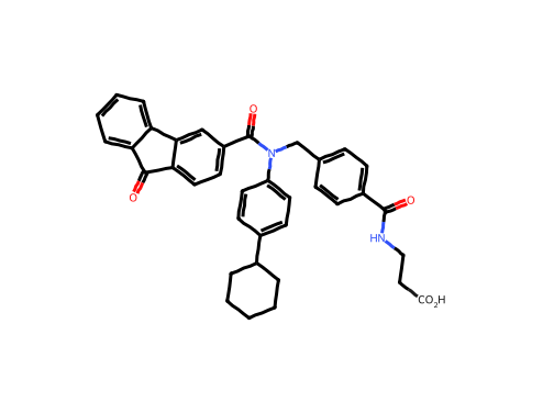 O=C(O)CCNC(=O)c1ccc(CN(C(=O)c2ccc3c(c2)-c2ccccc2C3=O)c2ccc(C3CCCCC3)cc2)cc1